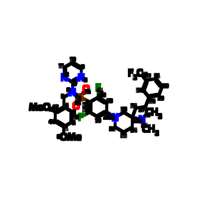 COc1ccc(CN(c2ncccn2)S(=O)(=O)c2c(F)cc(N3CCCC(CCc4cccc(C(F)(F)F)c4)(N(C)C)C3)cc2F)c(OC)c1